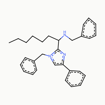 CCCCCCC(NCc1ccccc1)c1nc(-c2ccccc2)cn1Cc1ccccc1